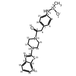 C[S+]([O-])Nc1ccc(CC(=O)N2CCN(c3nc4cccnc4s3)CC2)cc1